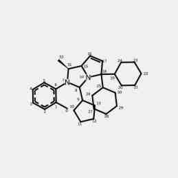 Cc1ccccc1N1C(C2CCCC2)N2C(C=CC2(C2CCCCC2)C2CCCCC2)[C@@H]1C